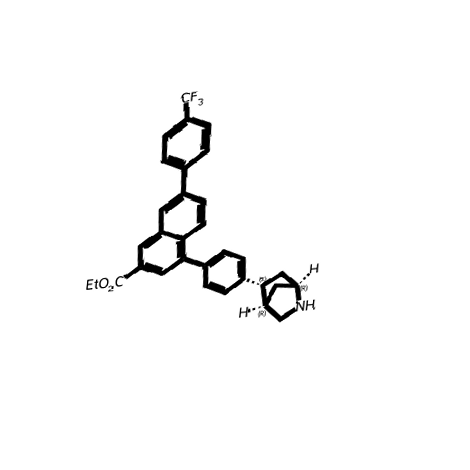 CCOC(=O)c1cc(-c2ccc([C@@H]3C[C@@H]4C[C@H]3CN4)cc2)c2ccc(-c3ccc(C(F)(F)F)cc3)cc2c1